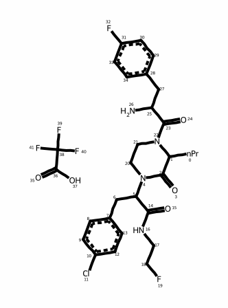 CCCC1C(=O)N(C(Cc2ccc(Cl)cc2)C(=O)NCCF)CCN1C(=O)C(N)Cc1ccc(F)cc1.O=C(O)C(F)(F)F